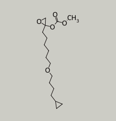 COC(=O)OC1(CCCCCCOCCCCC2CC2)CO1